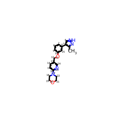 Cc1n[nH]cc1-c1c[c]cc(OCc2ccc(N3CCOCC3)nc2)c1